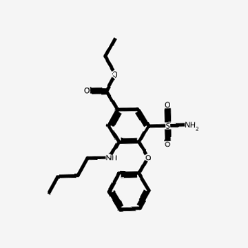 CCCCNc1cc(C(=O)OCC)cc(S(N)(=O)=O)c1Oc1ccccc1